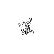 CC[C@H](C)C(CSC(C)(Cc1ccccc1)C(=O)N[C@@H]1CCOC1=O)NCC(CSC(c1ccccc1)(c1ccccc1)c1ccccc1)NC(=O)OC(C)(C)C